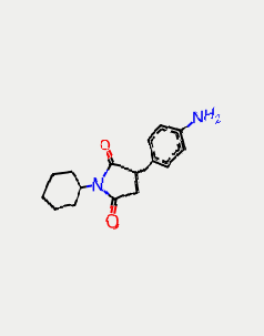 Nc1ccc(C2CC(=O)N(C3CCCCC3)C2=O)cc1